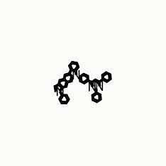 c1ccc(-c2cc(-c3ccc(-n4c5ccccc5c5cc6cc7ccn(-c8ccccc8)c7cc6cc54)cc3)nc(-c3ccccc3)n2)cc1